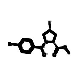 COC(=O)[C@H]1C[C@@H](F)CN1[S+]([O-])c1ccc(Br)cc1